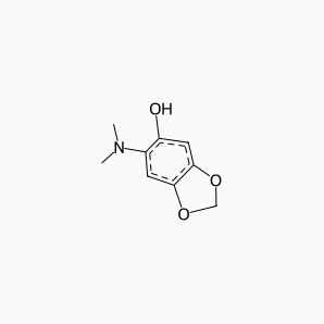 CN(C)c1cc2c(cc1O)OCO2